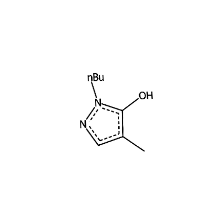 CCCCn1ncc(C)c1O